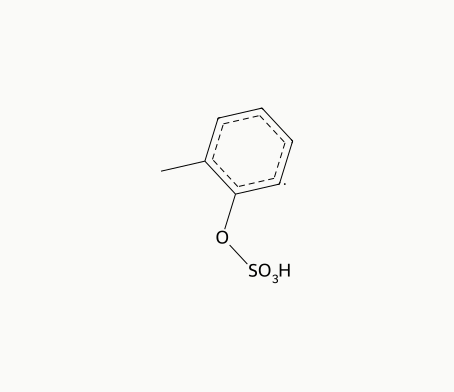 Cc1ccc[c]c1OS(=O)(=O)O